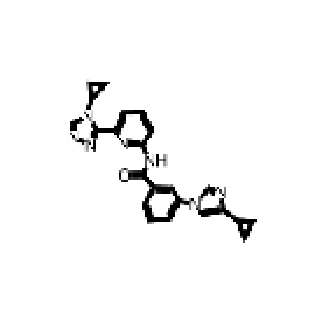 O=C(Nc1cccc(-c2nncn2C2CC2)n1)c1cccc(-n2cnc(C3CC3)c2)c1